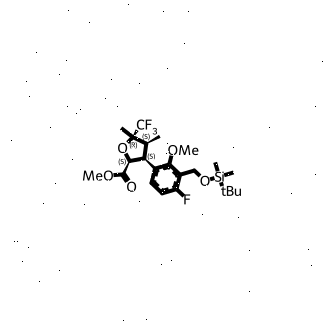 COC(=O)[C@H]1O[C@@](C)(C(F)(F)F)[C@@H](C)[C@H]1c1ccc(F)c(CO[Si](C)(C)C(C)(C)C)c1OC